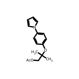 CC(=O)OCC(C)(C)Oc1ccc(-n2cccc2)cc1